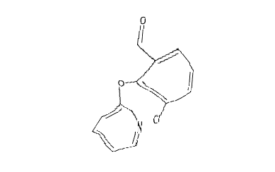 O=Cc1cccc(Cl)c1Oc1ccccn1